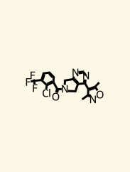 Cc1noc(C)c1-c1ncnc2c1CCN(C(=O)c1cccc(C(F)(F)F)c1Cl)C2